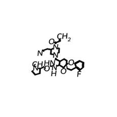 C=CC(=O)N1CCN(C2NC(OCC3CCCN3C)NC3C(=O)[C@]4(CCc5c(F)cccc5O4)CCC32)CC1CC#N